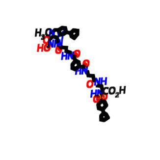 CN(Cc1ccc(-c2ccccc2)cc1)C(CCNC(=O)CCCNC(=O)c1cccc(C(=O)NCCCC(=O)NCCC(NS(=O)(=O)c2ccc(-c3ccccc3)cc2)C(=O)O)c1)C(=O)NO